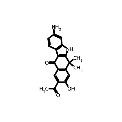 CC(=O)c1cc2c(cc1O)C(C)(C)c1[nH]c3cc(N)ccc3c1C2=O